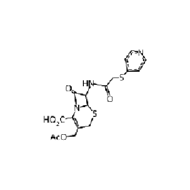 CC(=O)OCC1=C(C(=O)O)N2C(=O)C(NC(=O)CSc3ccncc3)C2SC1